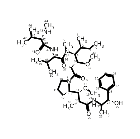 CC[C@H](C)[C@@H]([C@@H](CC(=O)N1CCC[C@H]1[C@H](OC)[C@@H](C)C(=O)NC(C)[C@@H](O)c1ccccc1)OC)N(C)C(=O)[C@@H](NC(=O)[C@@H](NC)C(C)C)C(C)C